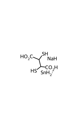 O=C(O)C(S)C(S)C(=O)O.[NaH].[SnH2]